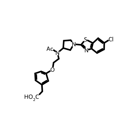 CC(=O)N(CCOc1cccc(CC(=O)O)c1)C1CCN(c2nc3ccc(Cl)cc3s2)C1